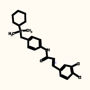 C[N+](C)(Cc1ccc(NC(=O)/C=C/c2ccc(Cl)c(Cl)c2)cc1)C1CCCCC1